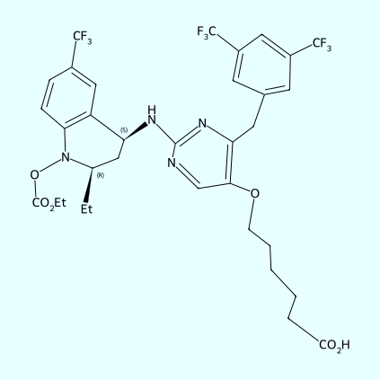 CCOC(=O)ON1c2ccc(C(F)(F)F)cc2[C@@H](Nc2ncc(OCCCCCC(=O)O)c(Cc3cc(C(F)(F)F)cc(C(F)(F)F)c3)n2)C[C@H]1CC